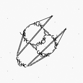 CCN1Cc2cc3cc(c2)CN2CCN(Cc4cc5cc(c4)CN4CCN(Cc6cc(cc(c6)CN6CCN(Cc7cc(cc(c7)CN7CCN(C3)C7)CN(C)CN(CC)C5)C6)CN(C)C1)C4)C2